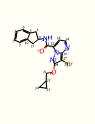 O=C(NC1Cc2ccccc2C1)c1ccnc2c(Br)c(OCC3CC3)nn12